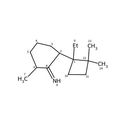 CCC1(C2CCCC(C)C2=N)CCC1(C)C